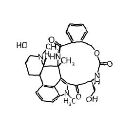 CN1CCCC2c3cccc4c3c3c(n4C)C(=O)[C@H](CO)NC(=O)OCc4ccccc4C(=O)NC3(C)[C@H]21.Cl